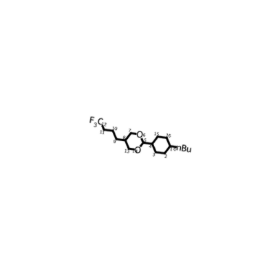 CCCCC1CCC(C2OCC(CCCC(F)(F)F)CO2)CC1